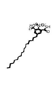 CCCCCCCCCCCCCCCCCCc1cc(C(=O)O)c([N+](=O)[O-])c(C(=O)S)c1